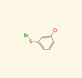 [O]c1cccc(SBr)c1